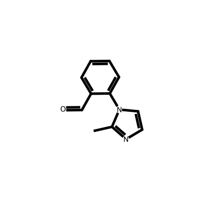 Cc1nccn1-c1ccccc1C=O